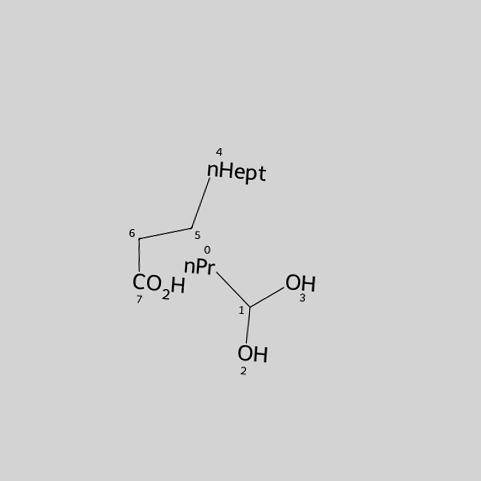 CCCC(O)O.CCCCCCCCCC(=O)O